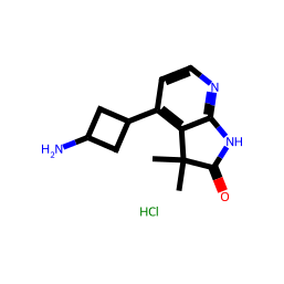 CC1(C)C(=O)Nc2nccc(C3CC(N)C3)c21.Cl